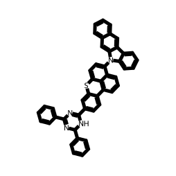 c1ccc(C2=NC(c3ccccc3)NC(c3ccc4c(c3)Sc3ccc(-n5c6ccccc6c6cc7ccccc7cc65)c5cccc-4c35)=N2)cc1